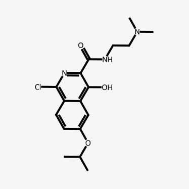 CC(C)Oc1ccc2c(Cl)nc(C(=O)NCCN(C)C)c(O)c2c1